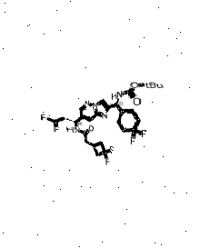 CC(C)(C)OC(=O)N[C@H](c1cn2ncc([C@@H](CC(F)F)NC(=O)CC3CC(F)(F)C3)cc2n1)C1CCC(F)(F)CC1